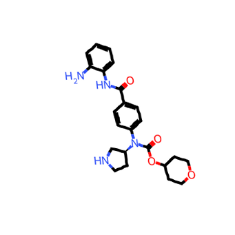 Nc1ccccc1NC(=O)c1ccc(N(C(=O)OC2CCOCC2)[C@H]2CCNC2)cc1